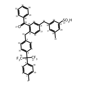 Cc1ccc(C(c2ccc(Cc3ccc(Cc4cc(C)cc(S(=O)(=O)O)c4)cc3C(=O)c3ccccc3)cc2)(C(F)(F)F)C(F)(F)F)cc1